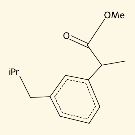 COC(=O)C(C)c1cccc(CC(C)C)c1